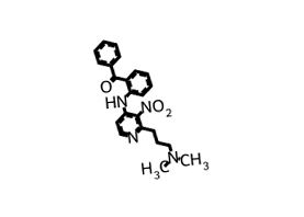 CN(C)CCCc1nccc(Nc2ccccc2C(=O)c2ccccc2)c1[N+](=O)[O-]